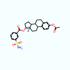 CC(=O)Oc1ccc2c(c1)CCC1C2CC[C@@]2(C)C1CC[C@@H]2OC(=O)c1cccc(S(N)(=O)=O)c1